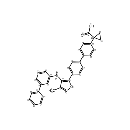 Cc1noc(-c2ccc(-c3ccc(C4(C(=O)O)CC4)cc3)cc2)c1Nc1cncc(-c2ccccc2)c1